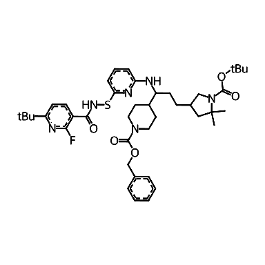 CC(C)(C)OC(=O)N1CC(CCC(Nc2cccc(SNC(=O)c3ccc(C(C)(C)C)nc3F)n2)C2CCN(C(=O)OCc3ccccc3)CC2)CC1(C)C